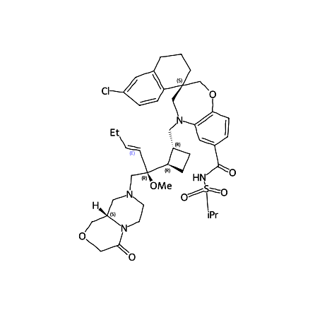 CC/C=C/[C@](CN1CCN2C(=O)COC[C@@H]2C1)(OC)[C@@H]1CC[C@H]1CN1C[C@@]2(CCCc3cc(Cl)ccc32)COc2ccc(C(=O)NS(=O)(=O)C(C)C)cc21